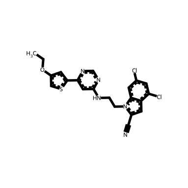 CCOc1csc(-c2cc(NCCn3c(C#N)cc4c(Cl)cc(Cl)cc43)ncn2)c1